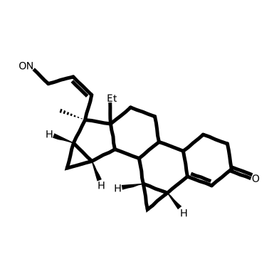 CCC12CCC3C4CCC(=O)C=C4[C@@H]4C[C@@H]4C3C1[C@@H]1C[C@@H]1[C@@]2(C)/C=C\CN=O